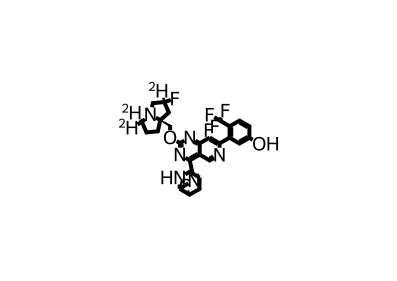 [2H]C1([2H])CC[C@@]2(COc3nc(N4CC5CCC4CN5)c4cnc(-c5cc(O)ccc5C(F)(F)F)c(F)c4n3)C[C@@]([2H])(F)CN12